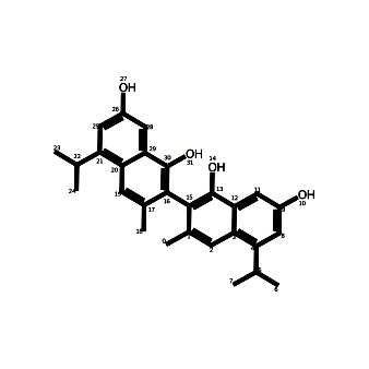 Cc1cc2c(C(C)C)cc(O)cc2c(O)c1-c1c(C)cc2c(C(C)C)cc(O)cc2c1O